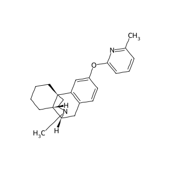 Cc1cccc(Oc2ccc3c(c2)[C@@]24CCCC[C@H]2[C@@H](C3)N(C)CC4)n1